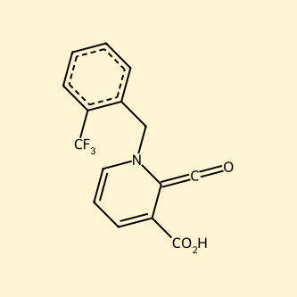 O=C=C1C(C(=O)O)=CC=CN1Cc1ccccc1C(F)(F)F